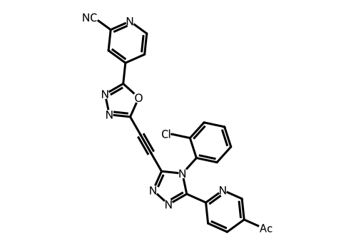 CC(=O)c1ccc(-c2nnc(C#Cc3nnc(-c4ccnc(C#N)c4)o3)n2-c2ccccc2Cl)nc1